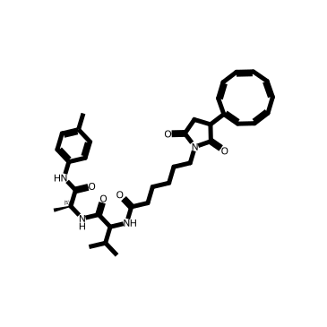 Cc1ccc(NC(=O)[C@H](C)NC(=O)C(NC(=O)CCCCCN2C(=O)CC(c3ccccccccc3)C2=O)C(C)C)cc1